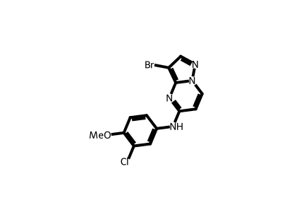 COc1ccc(Nc2ccn3ncc(Br)c3n2)cc1Cl